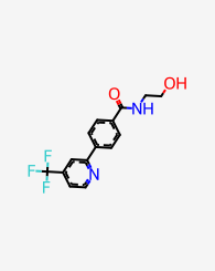 O=C(NCCO)c1ccc(-c2cc(C(F)(F)F)ccn2)cc1